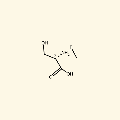 N[C@@H](CO)C(=O)O.[C]F